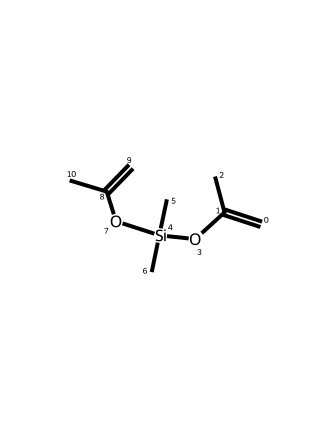 C=C(C)O[Si](C)(C)OC(=C)C